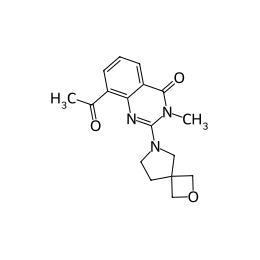 CC(=O)c1cccc2c(=O)n(C)c(N3CCC4(COC4)C3)nc12